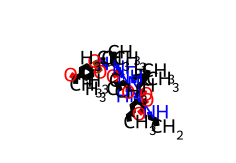 C=CCNC(=O)C(=O)C(CCCC)NC(=O)[C@@H]1[C@@H]2[C@H](CN1C(=O)[C@@H](NC(=O)N[C@H](CN(C)S(=O)(=O)c1ccc(C(C)=O)cc1)C(C)(C)C)C(C)(C)C)C2(C)C